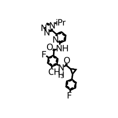 Cc1cc(F)c(C(=O)Nc2cccc(-c3nncn3C(C)C)n2)cc1NC(=O)C1CC1c1ccc(F)cc1